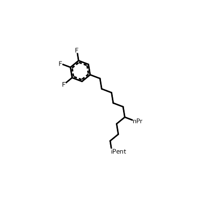 CCCC(C)CCCC(CCC)CCCCCc1cc(F)c(F)c(F)c1